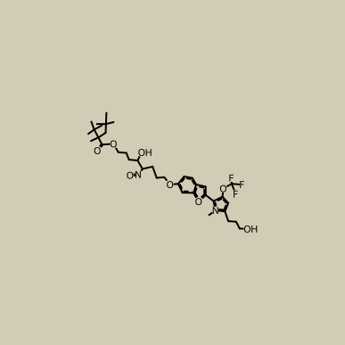 Cn1c(CCCO)cc(OC(F)(F)F)c1-c1cc2ccc(OCCCC(N=O)C(O)CCCOC(=O)C(C)(CC(C)(C)C)C(C)(C)C)cc2o1